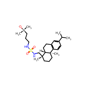 CC(C)c1ccc2c(c1)CC[C@H]1[C@@](C)(CNS(=O)(=O)NCCC[Si](C)(C)[O])CCC[C@]21C